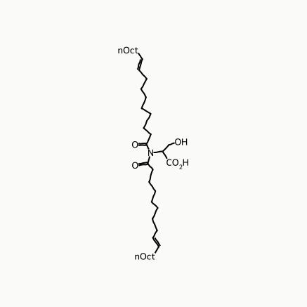 CCCCCCCCC=CCCCCCCCC(=O)N(C(=O)CCCCCCCC=CCCCCCCCC)C(CO)C(=O)O